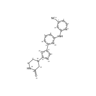 N#Cc1ccnc(Nc2cccc(-c3cnc(N4CCNC(=O)C4)o3)n2)c1